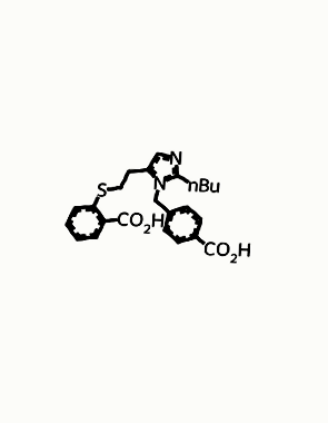 CCCCc1ncc(CCSc2ccccc2C(=O)O)n1Cc1ccc(C(=O)O)cc1